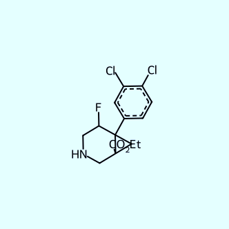 CCOC(=O)C12CNCC(F)C1(c1ccc(Cl)c(Cl)c1)C2